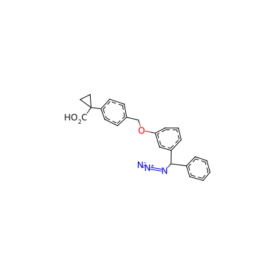 [N-]=[N+]=NC(c1ccccc1)c1cccc(OCc2ccc(C3(C(=O)O)CC3)cc2)c1